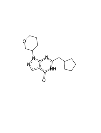 O=c1[nH]c(CC2CCCC2)nc2c1cnn2C1CCCOC1